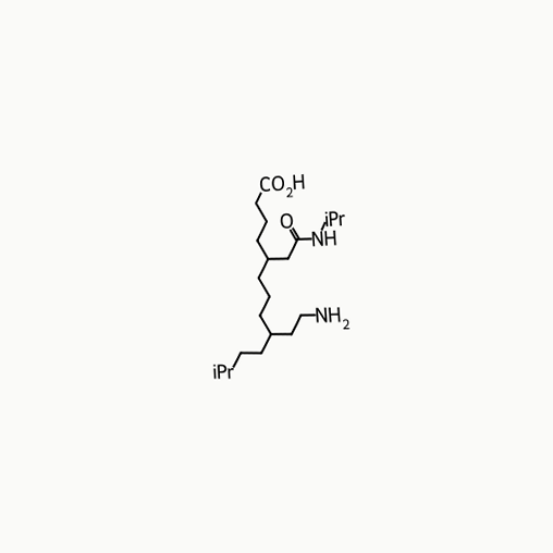 CC(C)CCC(CCN)CCCC(CCCC(=O)O)CC(=O)NC(C)C